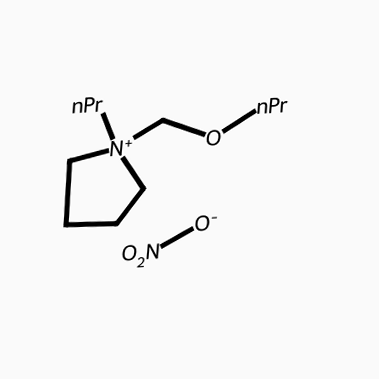 CCCOC[N+]1(CCC)CCCC1.O=[N+]([O-])[O-]